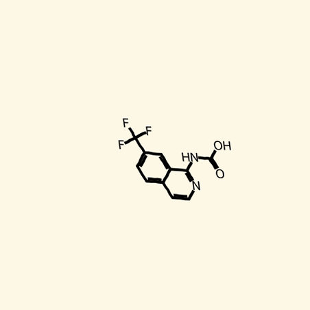 O=C(O)Nc1nccc2ccc(C(F)(F)F)cc12